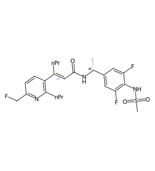 CCC/C(=C\C(=O)N[C@H](C)c1cc(F)c(NS(C)(=O)=O)c(F)c1)c1ccc(CF)nc1CCC